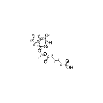 CC(OC(=O)CCCCC(=O)O)OC(=O)c1ccccc1C(=O)O